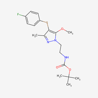 COc1c(Sc2ccc(F)cc2)c(C)nn1CCNC(=O)OC(C)(C)C